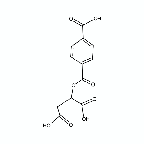 O=C(O)CC(OC(=O)c1ccc(C(=O)O)cc1)C(=O)O